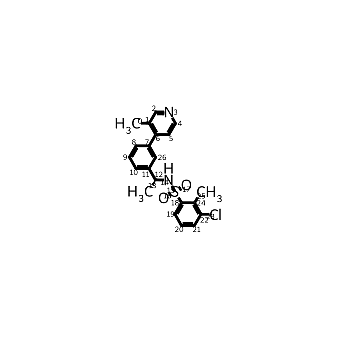 Cc1cnccc1-c1cccc([C@H](C)NS(=O)(=O)c2cccc(Cl)c2C)c1